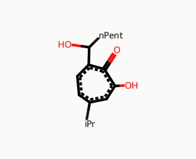 CCCCCC(O)c1ccc(C(C)C)cc(O)c1=O